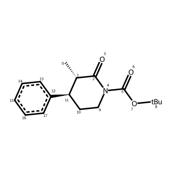 C[C@@H]1C(=O)N(C(=O)OC(C)(C)C)CC[C@H]1c1ccccc1